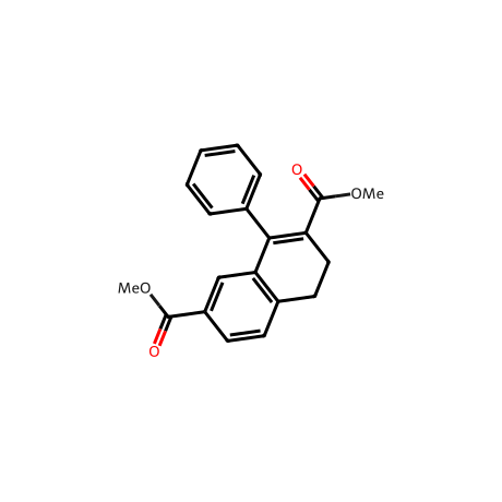 COC(=O)C1=C(c2ccccc2)c2cc(C(=O)OC)ccc2CC1